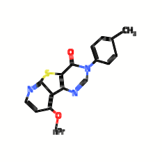 CCCOc1ccnc2sc3c(=O)n(-c4ccc(C)cc4)cnc3c12